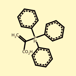 C=C(C(=O)O)[PH](c1ccccc1)(c1ccccc1)c1ccccc1